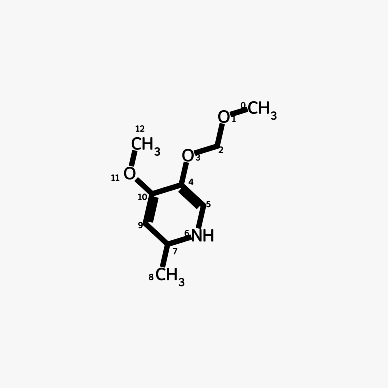 COCOC1=CNC(C)C=C1OC